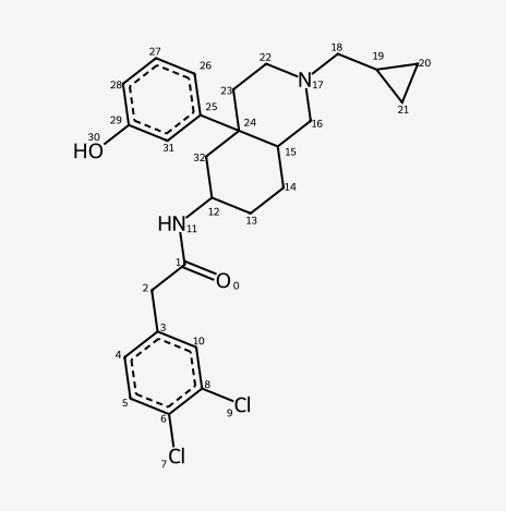 O=C(Cc1ccc(Cl)c(Cl)c1)NC1CCC2CN(CC3CC3)CCC2(c2cccc(O)c2)C1